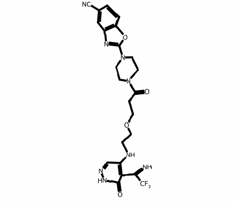 N#Cc1ccc2oc(N3CCN(C(=O)CCOCCNc4cn[nH]c(=O)c4C(=N)C(F)(F)F)CC3)nc2c1